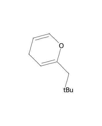 CC(C)(C)CC1=CCC=CO1